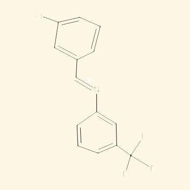 FC(F)(F)c1cccc(/N=C/c2[c]ccc(Cl)c2)c1